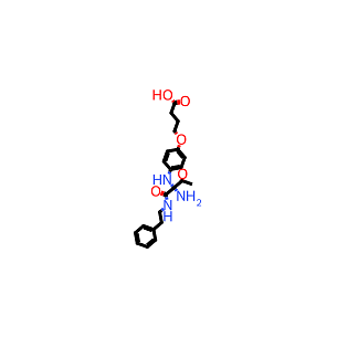 CC(=O)C(N)(Nc1ccc(OCCCC(=O)O)cc1)C(=O)NCCc1ccccc1